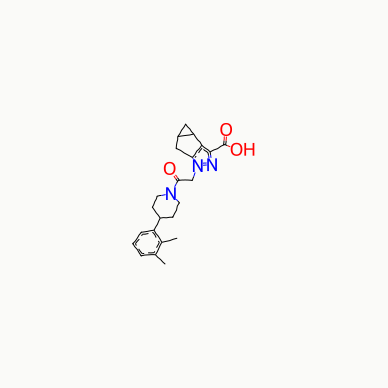 Cc1cccc(C2CCN(C(=O)Cn3nc(C(=O)O)c4c3CC3CC43)CC2)c1C